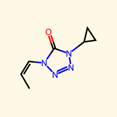 C/C=C\n1nnn(C2CC2)c1=O